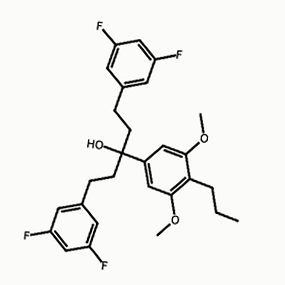 CCCc1c(OC)cc(C(O)(CCc2cc(F)cc(F)c2)CCc2cc(F)cc(F)c2)cc1OC